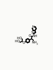 NCC(C(=O)Nc1cc2ccncc2s1)c1ccc(OC(CO)CO)cc1